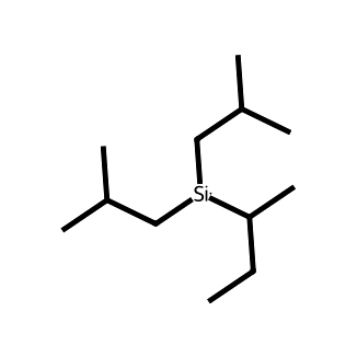 CCC(C)[Si](CC(C)C)CC(C)C